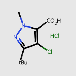 Cl.Cn1nc(C(C)(C)C)c(Cl)c1C(=O)O